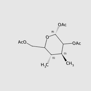 CC(=O)OCC1O[C@H](OC(C)=O)C(OC(C)=O)[C@@H](C)[C@@H]1C